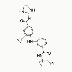 CC(C)CC1(NC(=O)c2cccc(Nc3ccc(C(=O)N=C4NCCN4)cc3C3CC3)c2)CC1